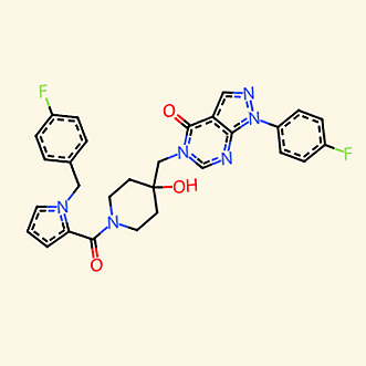 O=C(c1cccn1Cc1ccc(F)cc1)N1CCC(O)(Cn2cnc3c(cnn3-c3ccc(F)cc3)c2=O)CC1